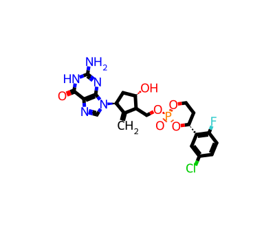 C=C1C(CO[P@]2(=O)OCC[C@H](c3cc(Cl)ccc3F)O2)[C@@H](O)C[C@@H]1n1cnc2c(=O)[nH]c(N)nc21